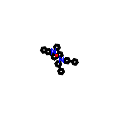 c1ccc(-c2ccc(N(c3ccc(-c4ccccc4-n4c5ccccc5c5cc6ccccc6cc54)cc3)c3cccc(-c4ccccc4)c3)cc2)cc1